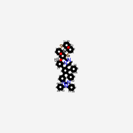 CC(C)(C)c1ccc2c(c1-c1nccc(-c3c(-c4ccccc4)cc(-c4ccccc4)c(-c4cccc(-n5c6ccccc6n6c7ccccc7nc56)c4)c3-c3ccccc3)n1)Sc1ccccc1[Si]21c2ccccc2Sc2ccccc21